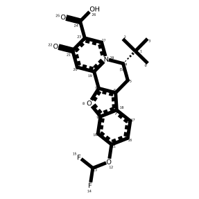 CC(C)(C)[C@@H]1Cc2c(oc3cc(OC(F)F)ccc23)-c2cc(=O)c(C(=O)O)cn21